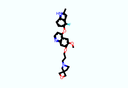 COc1cc2c(Oc3ccc4[nH]c(C)cc4c3F)ccnc2cc1OCCCN1CCC2(COC2)C1